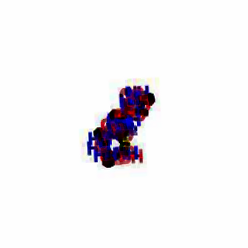 CC(=O)NCC(=O)N[C@@H](Cc1ccccc1)C(=O)N[C@@H](CC(C)C)C(=O)NCC(=O)N[C@@H](Cc1ccc(O)cc1)C(=O)N[C@@H](Cc1ccccc1)C(=O)N1CCC[C@H]1C(=O)N[C@@H]1CCSSC[C@@H](C(=O)O)NC(=O)[C@H](Cc2ccccc2)NC(=O)[C@H](C)NC(=O)[C@H](Cc2ccccc2)NC(=O)[C@H](CCC(N)=O)NC1=O